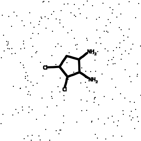 NC1CC(Cl)C(Cl)C1N